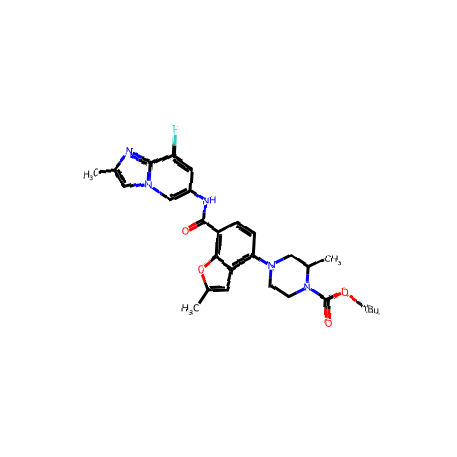 Cc1cn2cc(NC(=O)c3ccc(N4CCN(C(=O)OC(C)(C)C)C(C)C4)c4cc(C)oc34)cc(F)c2n1